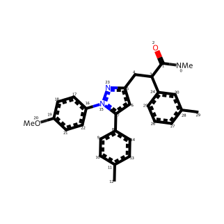 CNC(=O)C(Cc1cc(-c2ccc(C)cc2)n(-c2ccc(OC)cc2)n1)c1cccc(C)c1